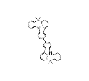 CC1(C)c2ccccc2-n2c3ccc(-c4ccc5c(c4)c4cccc6c4n5-c4ccccc4C6(C)C)cc3c3cccc1c32